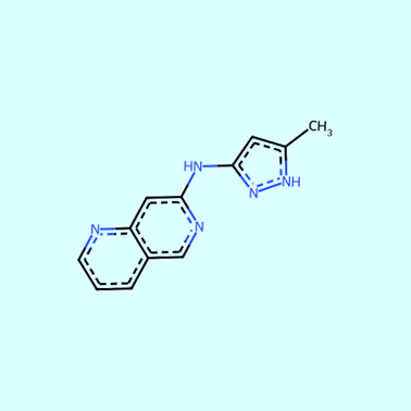 Cc1cc(Nc2cc3ncccc3cn2)n[nH]1